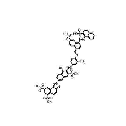 Cc1cc(N=Nc2c(S(=O)(=O)O)cc3cc(-n4nc5ccc6c(S(=O)(=O)O)cc(S(=O)(=O)O)cc6c5n4)ccc3c2O)ccc1N=Nc1ccc(N=Nc2c(S(=O)(=O)O)ccc3ccccc23)c2cc(S(=O)(=O)O)ccc12